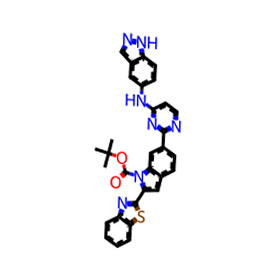 CC(C)(C)OC(=O)n1c(-c2nc3ccccc3s2)cc2ccc(-c3nccc(Nc4ccc5[nH]ncc5c4)n3)cc21